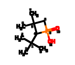 CC(C)(C)C1C(C)(C)CP1(=O)O